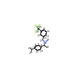 CC(C)c1ccc(C(C)N(C)Cc2cccc(C(F)(F)F)c2)cc1